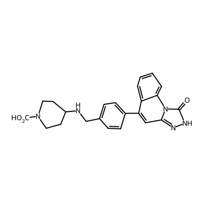 O=C(O)N1CCC(NCc2ccc(-c3cc4n[nH]c(=O)n4c4ccccc34)cc2)CC1